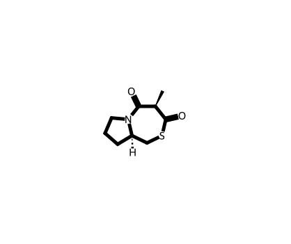 C[C@H]1C(=O)SC[C@H]2CCCN2C1=O